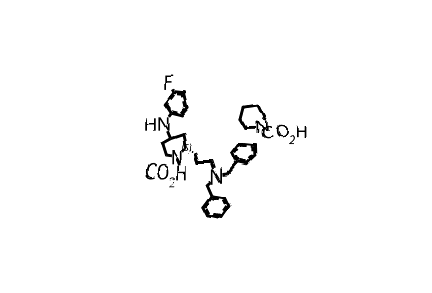 O=C(O)N1CCC(Nc2cccc(F)c2)C[C@@H]1CCCN(Cc1ccccc1)Cc1ccccc1.O=C(O)N1CCCCC1